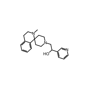 CN1CCc2ccccc2C12CCN(CC(O)c1cccnc1)CC2